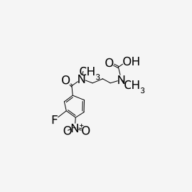 CN(CCCN(C)C(=O)c1ccc([N+](=O)[O-])c(F)c1)C(=O)O